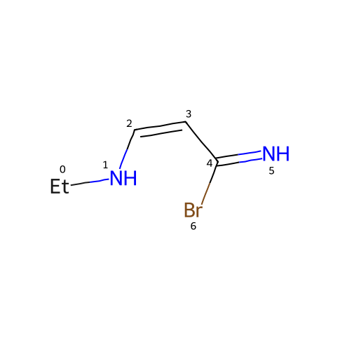 CCN/C=C\C(=N)Br